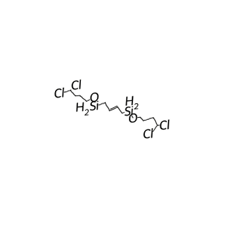 ClC(Cl)CCCO[SiH2]CC=CC[SiH2]OCCCC(Cl)Cl